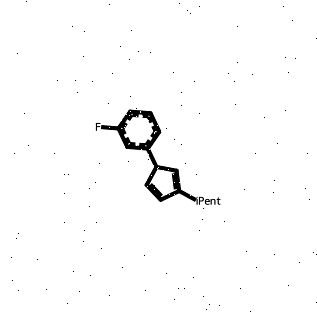 CCCC(C)C1=CC(c2cccc(F)c2)C=C1